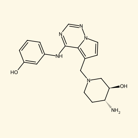 N[C@@H]1CCN(Cc2ccn3ncnc(Nc4cccc(O)c4)c23)C[C@H]1O